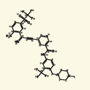 CN1CCN(Cc2ccc(NC(=O)c3cncc(C#CC(=N)c4cc(S(=O)(=O)C(F)(F)F)ccc4N)c3)cc2C(F)(F)F)CC1